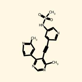 Cc1cc(-c2ncnc(C)c2C#Cc2cncc(NS(C)(=O)=O)c2)ccn1